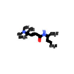 CC(C)(C)N(C(C)(C)C)[C@](CCC(=O)N[C@H](CCC(=O)O)C(=O)O)(C(=O)O)C(C)(C)C